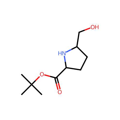 CC(C)(C)OC(=O)C1CCC(CO)N1